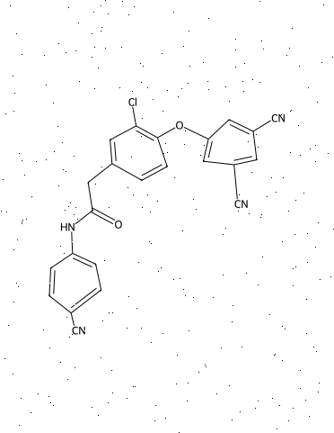 N#Cc1ccc(NC(=O)Cc2ccc(Oc3cc(C#N)cc(C#N)c3)c(Cl)c2)cc1